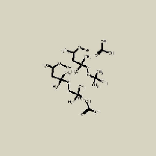 CC(CC(C)(C)OOC(C)(C)C)OO.CC(CC(C)(C)OOC(C)(C)C)OO.O=C(O)O.O=C(O)O